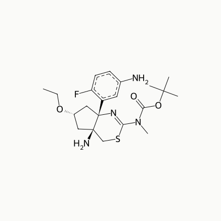 CCO[C@H]1C[C@@]2(N)CSC(N(C)C(=O)OC(C)(C)C)=N[C@@]2(c2cc(N)ccc2F)C1